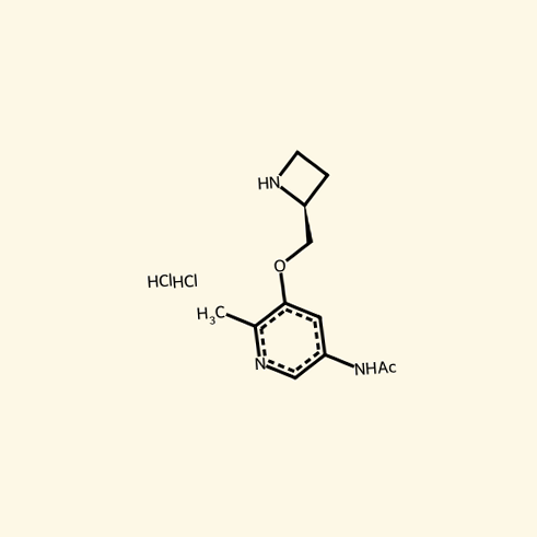 CC(=O)Nc1cnc(C)c(OC[C@@H]2CCN2)c1.Cl.Cl